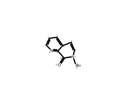 CCC(C)n1ccc2cccnc2c1=O